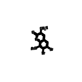 CC(=O)Oc1c(Br)c(Br)cc2cc(C(=O)O)c(=O)oc12